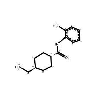 Cc1ccccc1NC(=O)[C@H]1CC[C@H](CN)CC1